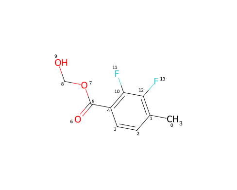 Cc1ccc(C(=O)OCO)c(F)c1F